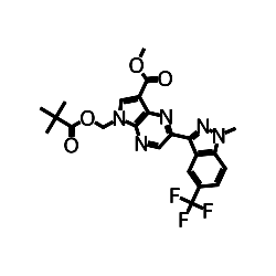 COC(=O)c1cn(COC(=O)C(C)(C)C)c2ncc(-c3nn(C)c4ccc(C(F)(F)F)cc34)nc12